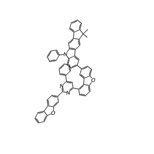 CC1(C)c2ccccc2-c2cc3c(cc21)c1cc(-c2ccc4oc5cccc(-c6cc(-c7ccccc7)nc(-c7ccc8c(c7)oc7ccccc78)n6)c5c4c2)ccc1n3-c1ccccc1